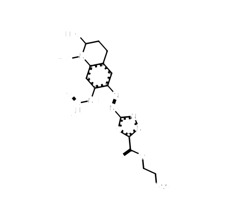 COCCOC(=O)c1nnc(N=Nc2cc3c(cc2N[SH](=O)=O)N(C)C(C)CC3)s1